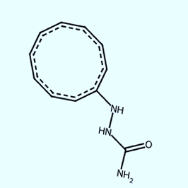 NC(=O)NNc1ccccccccc1